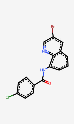 O=C(Nc1cccc2cc(Br)cnc12)c1ccc(Cl)cc1